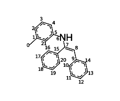 Cc1cccc(NC(=Cc2ccccc2)c2ccccc2)c1